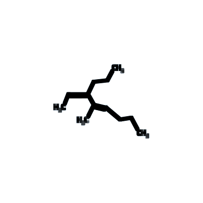 C/C=C(CCC)\C(C)=[C]\CCC